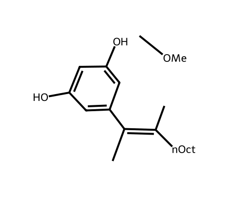 CCCCCCCCC(C)=C(C)c1cc(O)cc(O)c1.COC